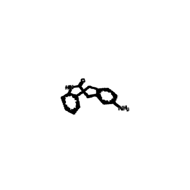 Nc1ccc2c(c1)CC1(C2)C(=O)Nc2ccccc21